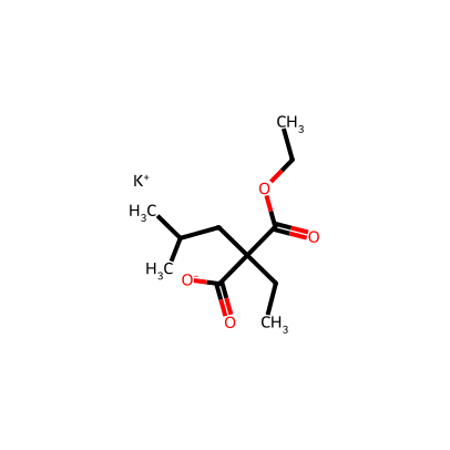 CCOC(=O)C(CC)(CC(C)C)C(=O)[O-].[K+]